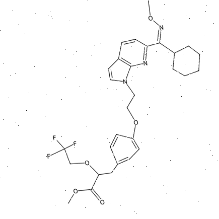 CO/N=C(\c1ccc2ccn(CCOc3ccc(CC(OCC(F)(F)F)C(=O)OC)cc3)c2n1)C1CCCCC1